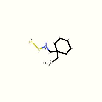 O=C(O)CC1(CNSS)CCCCC1